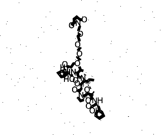 CC[C@H](C)[C@@H]([C@@H](CC(=O)N1CCC[C@H]1[C@H](OC)[C@@H](C)C(=O)N[C@@H](Cc1ccccc1)C(=O)O)OC)N(C)C(=O)[C@@H](NC(=O)[C@@H]1[C@H]2CC[C@H](C2)N1C(=O)CCOCCOCCOCCOCCN1C(=O)C=CC1=O)C(C)C